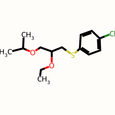 CCOC(COC(C)C)CSc1ccc(Cl)cc1